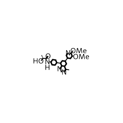 COc1cc(-c2cc(-c3ccc(NC(=O)[C@H](C)O)cc3)c3ncnc(C)c3c2)cnc1OC